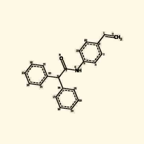 C=Cc1ccc(NC(=O)C(c2ccccc2)c2ccccc2)cc1